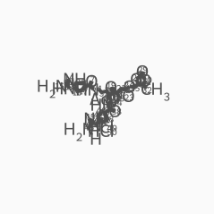 CC(=O)[C@@]1(CCCNC(=O)c2ccc(NC(=N)N)cc2)C(=O)N(CC(=O)OCC2OC(=O)OC2C)CCN1NC(=O)c1ccc(NC(=N)N)cc1.Cl.Cl